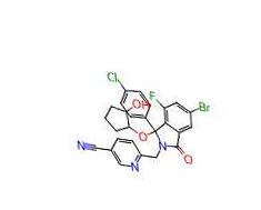 N#Cc1ccc(CN2C(=O)c3cc(Br)cc(F)c3C2(OC2CCCC2O)c2ccc(Cl)cc2)nc1